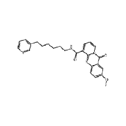 COc1ccc2nc3c(C(=O)NCCCCCCc4cccnc4)cccn3c(=O)c2c1